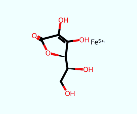 O=C1O[C@H]([C@@H](O)CO)C(O)=C1O.[Fe+5]